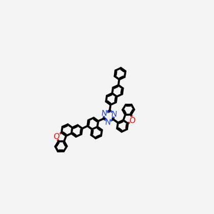 c1ccc(-c2ccc3cc(-c4nc(-c5ccc(-c6ccc7c(ccc8oc9ccccc9c87)c6)c6ccccc56)nc(-c5cccc6oc7ccccc7c56)n4)ccc3c2)cc1